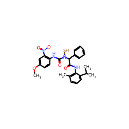 COc1ccc(NC(=O)N(S)C(C(=O)Nc2c(C)cccc2C(C)C)c2ccccc2)c([N+](=O)[O-])c1